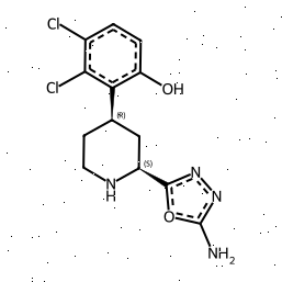 Nc1nnc([C@@H]2C[C@H](c3c(O)ccc(Cl)c3Cl)CCN2)o1